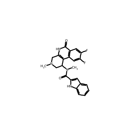 CN1Cc2[nH]c(=O)c3cc(F)c(F)cc3c2C(N(C)C(=O)c2cc3ccccc3[nH]2)C1